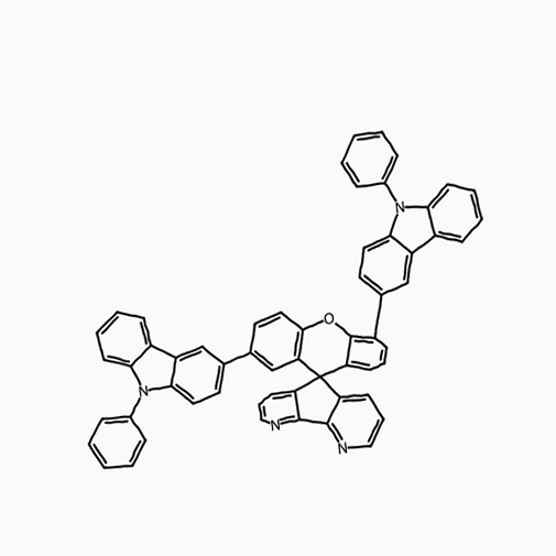 c1ccc(-n2c3ccccc3c3cc(-c4ccc5c(c4)C4(c6cccnc6-c6ncccc64)c4cccc(-c6ccc7c(c6)c6ccccc6n7-c6ccccc6)c4O5)ccc32)cc1